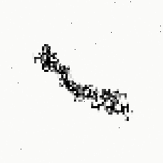 CC1(C)CCc2c(-c3cc4ccc(C(=O)N5CCN(C(=O)Cn6cc(CN7CCC(=O)NC7=O)cn6)CC5)cc4[nH]3)n[nH]c2C1